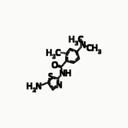 Cc1cc(N(C)C)ccc1C(=O)Nc1ncc(N)s1